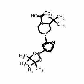 CC(C)(C)C1CN(c2cc(B3OC(C)(C)C(C)(C)O3)ccn2)CCN1C(=O)O